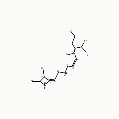 CCCC(C(F)F)N(C)/C=C\CNC/C=C1/NC(C)C1C